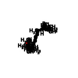 Cc1ncsc1-c1ccc([C@H](C)NC(=O)[C@@H]2C[C@@H](O)CN2C(=O)[C@@H](NC(=O)COCCOCCOCCOCCN(C)CCCNc2nc(N3CCN(C(=O)O)C(C(C)(C)C)C3)c3cc(Cl)c(Br)c(F)c3n2)C(C)(C)C)cc1